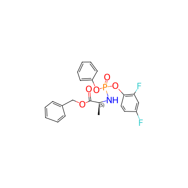 C[C@H](NP(=O)(Oc1ccccc1)Oc1ccc(F)cc1F)C(=O)OCc1ccccc1